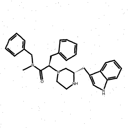 CN(Cc1ccccc1)C(=O)[C@@H](Cc1ccccc1)N1CCN[C@@H](Cc2c[nH]c3ccccc23)C1